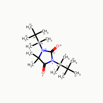 CC1(C)C(=O)N([Si](C)(C)C(C)(C)C)C(=O)N1[Si](C)(C)C(C)(C)C